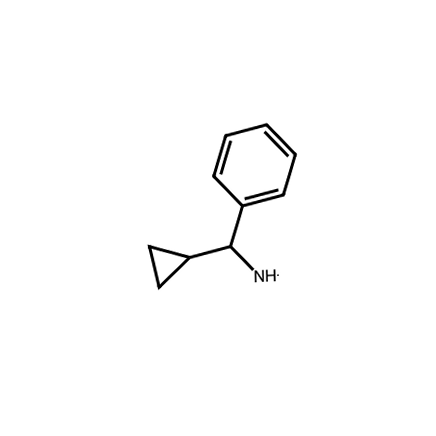 [NH]C(c1ccccc1)C1CC1